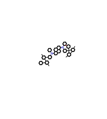 Cc1ccc(-c2ccc(C)cc2-c2cccc(N(c3ccccc3)c3ccc4ccc5c(N(c6ccccc6)c6cccc(C7(c8ccccc8)c8cc(C)ccc8-c8ccc(C)cc87)c6)ccc6ccc3c4c65)c2)c(-c2ccccc2)c1